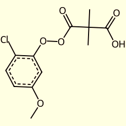 COc1ccc(Cl)c(OOC(=O)C(C)(C)C(=O)O)c1